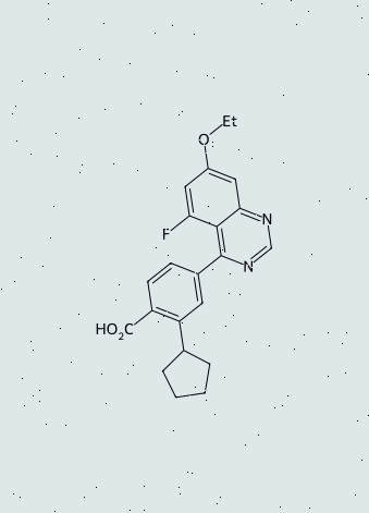 CCOc1cc(F)c2c(-c3ccc(C(=O)O)c(C4CCCC4)c3)ncnc2c1